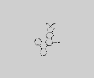 CC(C)C1(C(C)C)Oc2cc3c(O)cc4c(c3cc2S1)-c1ccccc1C1CCCCC41